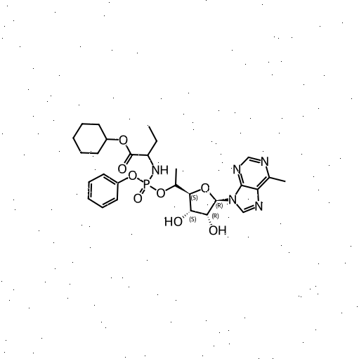 CCC(NP(=O)(Oc1ccccc1)OC(C)[C@H]1O[C@@H](n2cnc3c(C)ncnc32)[C@H](O)[C@@H]1O)C(=O)OC1CCCCC1